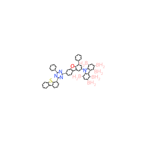 Bc1cc(B)c2c(c1B)c1c(B)c(B)cc(B)c1n2-c1cc(-c2ccccc2)c2oc3cc(-c4nc(-c5ccccc5)nc(-c5cccc6c5sc5ccccc56)n4)ccc3c2c1